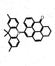 Cc1ccc2c(c1)C(C)(C)c1cc(C)ccc1N2c1cc2c3c4c(cccc14)C(=O)C1=C3C(C=C2)CCC1